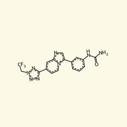 NC(=O)Nc1cccc(-c2cnc3cc(-c4nnn(CC(F)(F)F)n4)ccn23)c1